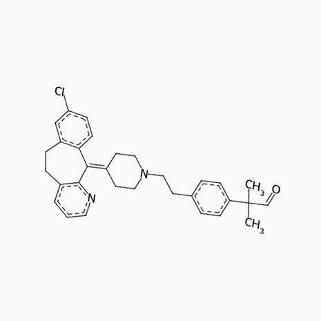 CC(C)(C=O)c1ccc(CCN2CCC(=C3c4ccc(Cl)cc4CCc4cccnc43)CC2)cc1